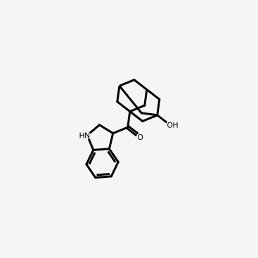 O=C(C1CNc2ccccc21)C12CC3CC(CC(O)(C3)C1)C2